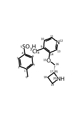 Cc1ccc(S(=O)(=O)O)cc1.Clc1ccncc1OC[C@H]1CCN1